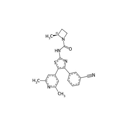 Cc1cc(-c2sc(NC(=O)N3CC[C@@H]3C)nc2-c2cccc(C#N)c2)cc(C)n1